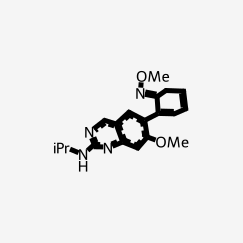 CON=C1CC=CC=C1c1cc2cnc(NC(C)C)nc2cc1OC